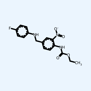 CCOC(=O)Nc1ccc(CNc2ccc(F)cc2)cc1[N+](=O)[O-]